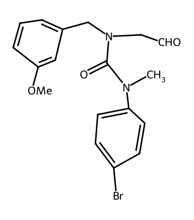 COc1cccc(CN(CC=O)C(=O)N(C)c2ccc(Br)cc2)c1